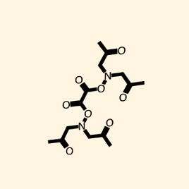 CC(=O)CN(CC(C)=O)OC(=O)C(=O)ON(CC(C)=O)CC(C)=O